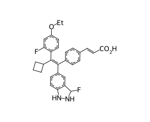 CCOc1ccc(/C(=C(\c2ccc(/C=C/C(=O)O)cc2)c2ccc3c(c2)C(F)NN3)C2CCC2)c(F)c1